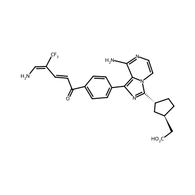 N/C=C(\C=CC(=O)c1ccc(-c2nc([C@@H]3CC[C@@H](CC(=O)O)C3)n3ccnc(N)c23)cc1)C(F)(F)F